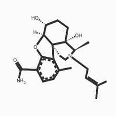 CC(C)=CCN1CC[C@]23c4c(C)ccc(C(N)=O)c4O[C@H]2[C@H](O)CC[C@@]3(O)[C@H]1C